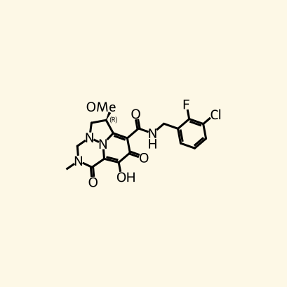 CO[C@@H]1CN2CN(C)C(=O)c3c(O)c(=O)c(C(=O)NCc4cccc(Cl)c4F)c1n32